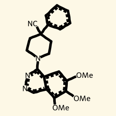 COc1cc2c(N3CCC(C#N)(c4ccccc4)CC3)nncc2c(OC)c1OC